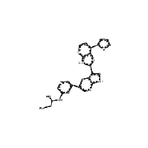 CC(C)CC(O)Nc1cncc(-c2cnc3[nH]nc(-c4nc5c(-c6cccs6)ccnc5[nH]4)c3c2)c1